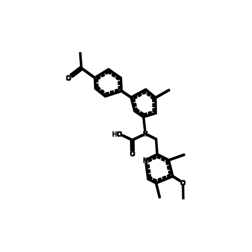 COc1c(C)cnc(CN(C(=O)O)c2cc(C)cc(-c3ccc(C(C)=O)cc3)c2)c1C